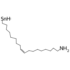 NCCCCCCCC/C=C\CCCCCCC[CH2][SnH]